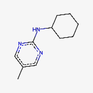 Cc1cnc(NC2CCCCC2)nc1